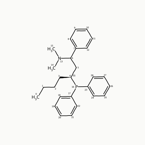 CCCC[C@@H](CC(c1ccccc1)N(C)C)P(c1ccccc1)c1ccccc1